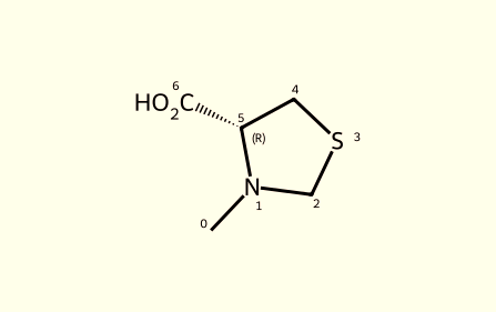 CN1CSC[C@H]1C(=O)O